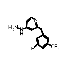 NNc1ccnc(Cc2cc(F)cc(C(F)(F)F)c2)c1